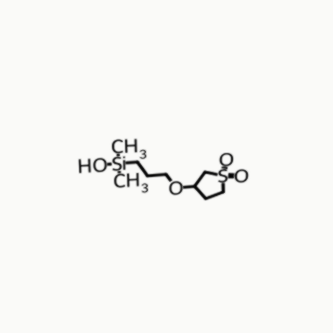 C[Si](C)(O)CCCOC1CCS(=O)(=O)C1